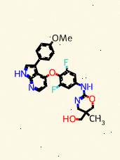 COc1ccc(-c2c[nH]c3nccc(Oc4c(F)cc(NC5=NCC(C)(CO)CO5)cc4F)c23)cc1